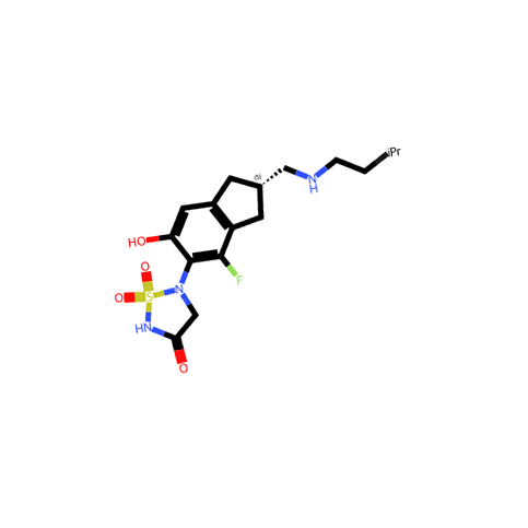 CC(C)CCNC[C@H]1Cc2cc(O)c(N3CC(=O)NS3(=O)=O)c(F)c2C1